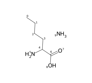 CCCCC(N)C(=O)O.N